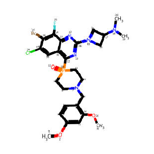 COc1ccc(CN2CCP(=O)(c3nc(N4CC(N(C)C)C4)nc4c(F)c(Br)c(Cl)cc34)CC2)c(OC)c1